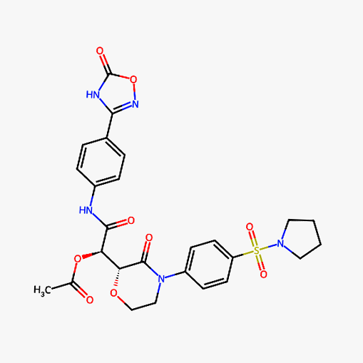 CC(=O)O[C@@H](C(=O)Nc1ccc(-c2noc(=O)[nH]2)cc1)[C@H]1OCCN(c2ccc(S(=O)(=O)N3CCCC3)cc2)C1=O